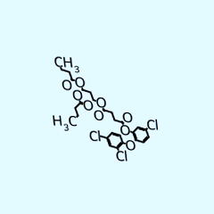 CCCC(=O)OC(CCOC(=O)CCC(=O)Oc1cc(Cl)ccc1Oc1ccc(Cl)cc1Cl)OC(=O)CCC